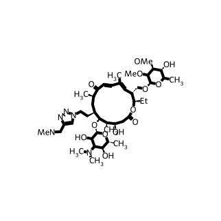 CC[C@H]1OC(=O)C[C@@H](O)[C@H](C)[C@@H](O[C@@H]2O[C@H](C)[C@@H](O)C(N(C)C)C2O)[C@@H](CCn2cc(CNC)nn2)C[C@@H](C)C(=O)/C=C/C(C)=C/[C@@H]1CO[C@@H]1OC(C)[C@@H](O)[C@H](OC)C1OC